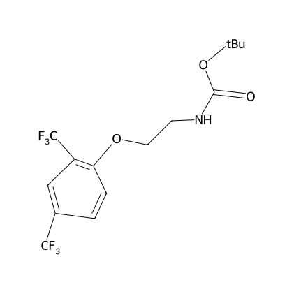 CC(C)(C)OC(=O)NCCOc1ccc(C(F)(F)F)cc1C(F)(F)F